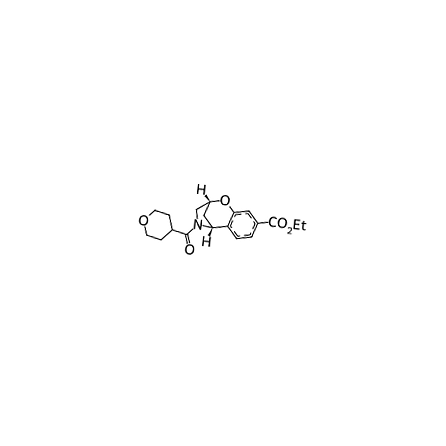 CCOC(=O)c1ccc2c(c1)O[C@@H]1C[C@H]2N(C(=O)C2CCOCC2)C1